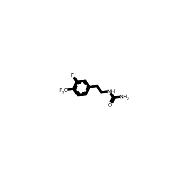 NC(=O)NC[CH]c1ccc(C(F)(F)F)c(F)c1